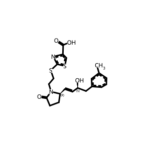 Cc1cccc(C[C@H](O)C=C[C@H]2CCC(=O)N2CCSc2nc(C(=O)O)cs2)c1